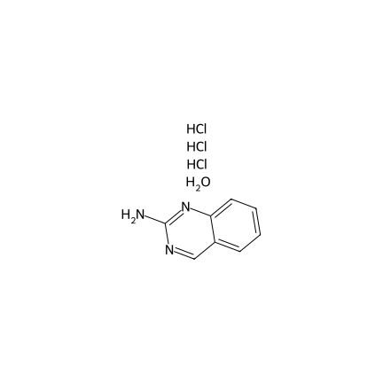 Cl.Cl.Cl.Nc1ncc2ccccc2n1.O